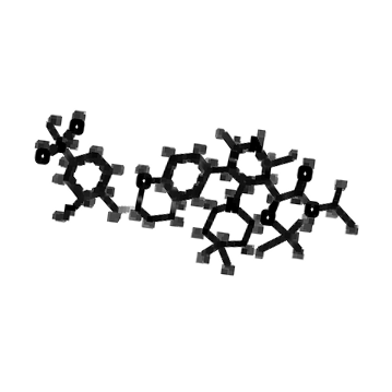 Cc1nc(C)c([C@H](OC(C)(C)C)C(=O)OC(C)C)c(N2CCC(C)(C)CC2)c1-c1ccc2c(c1)CC[C@H](Cc1ccc(S(C)(=O)=O)cc1F)O2